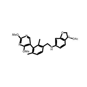 COc1ncc(-c2c(C)ccc(CNc3ccc4c(c3)OC[C@H]4OC(C)=O)c2C)c(OC)n1